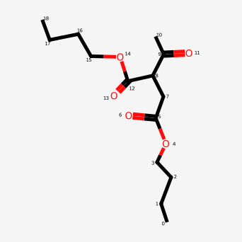 CCCCOC(=O)CC(C(C)=O)C(=O)OCCCC